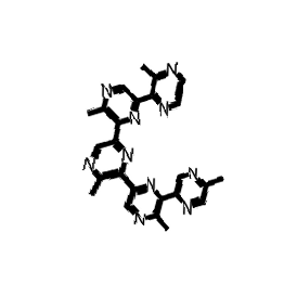 Cc1cnc(-c2nc(-c3nc(-c4nc(-c5nccnc5C)cnc4C)cnc3C)cnc2C)cn1